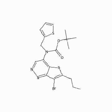 CCCc1sc2c(N(Cc3cccs3)C(=O)OC(C)(C)C)cnnc2c1Br